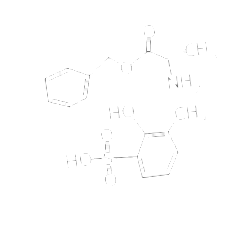 C[C@H](N)C(=O)OCc1ccccc1.Cc1cccc(S(=O)(=O)O)c1O